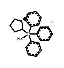 CP(c1ccccc1)(c1ccccc1)(c1ccccc1)C1CCC[N+]1=O.[Cl-]